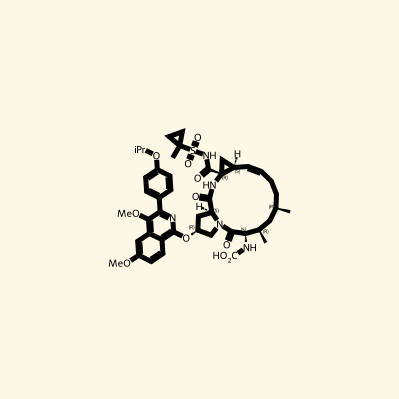 COc1ccc2c(O[C@@H]3C[C@H]4C(=O)N[C@]5(C(=O)NS(=O)(=O)C6(C)CC6)C[C@H]5C=CCC[C@@H](C)C[C@@H](C)[C@H](NC(=O)O)C(=O)N4C3)nc(-c3ccc(OC(C)C)cc3)c(OC)c2c1